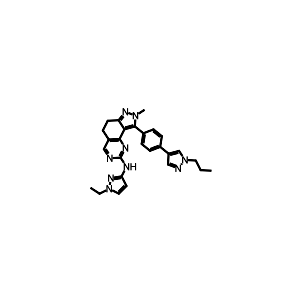 CCCn1cc(-c2ccc(-c3c4c(nn3C)CCc3cnc(Nc5ccn(CC)n5)nc3-4)cc2)cn1